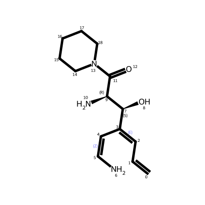 C=C/C=C(\C=C/N)[C@H](O)[C@@H](N)C(=O)N1CCCCC1